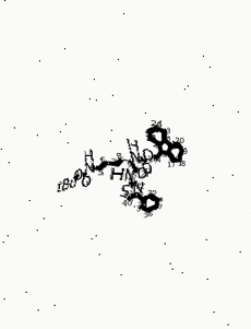 CC(C)(C)OC(=O)NCCCC[C@H](NC(=O)OCC1c2ccccc2-c2ccccc21)C(=O)Nc1nc(-c2ccccc2)cs1